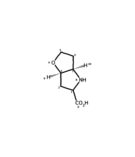 O=C(O)C1C[C@H]2OCC[C@H]2N1